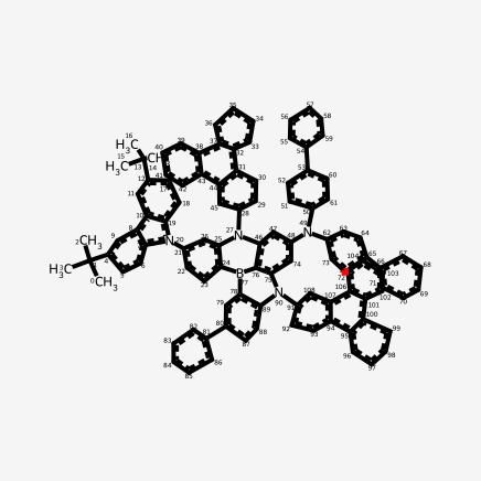 CC(C)(C)c1ccc2c(c1)c1cc(C(C)(C)C)ccc1n2-c1ccc2c(c1)N(c1ccc3c4ccccc4c4ccccc4c3c1)c1cc(N(c3ccc(-c4ccccc4)cc3)c3ccc(-c4ccccc4)cc3)cc3c1B2c1cc(-c2ccccc2)ccc1N3c1ccc2c3ccccc3c3ccccc3c2c1